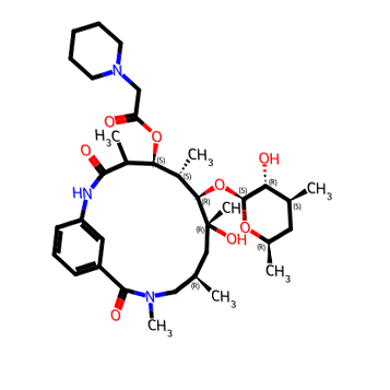 CC1C(=O)Nc2cccc(c2)C(=O)N(C)C[C@H](C)C[C@@](C)(O)[C@H](O[C@@H]2O[C@H](C)C[C@H](C)[C@H]2O)[C@@H](C)[C@@H]1OC(=O)CN1CCCCC1